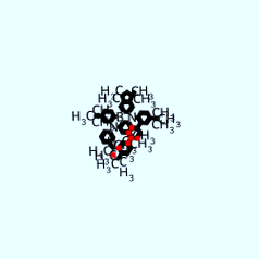 CC(C)(C)c1ccc(-c2ccc(-c3cc(C(C)(C)C)ccc3N3c4cc5c(cc4B4c6ccc(C(C)(C)C)cc6N(c6cccc(C(C)(C)C)c6)c6cc(C(C)(C)C)cc3c64)C(C)(C)CC5(C)C)cc2)cc1